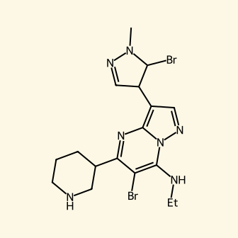 CCNc1c(Br)c(C2CCCNC2)nc2c(C3C=NN(C)C3Br)cnn12